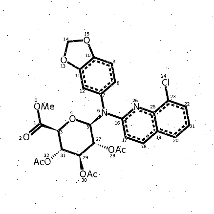 COC(=O)[C@H]1O[C@@H](N(c2ccc3c(c2)OCO3)c2ccc3cccc(Cl)c3n2)[C@H](OC(C)=O)[C@@H](OC(C)=O)[C@@H]1OC(C)=O